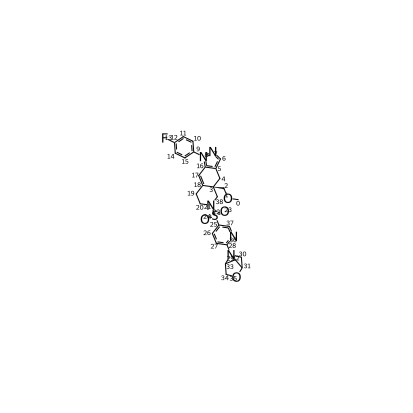 COC[C@]12Cc3cnn(-c4ccc(F)cc4)c3C=C1CCN(S(=O)(=O)c1ccc(N3CC4CC3CO4)nc1)C2